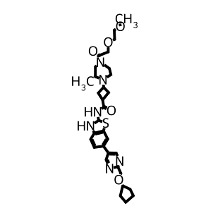 COCCOCC(=O)N1CCN(C2CC(C(=O)NC3Nc4ccc(-c5cnc(COC6CCCC6)nc5)cc4S3)C2)C(C)C1